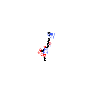 CCCCOC(=O)NC(CNC(=O)CC1=NOC(CCCNC2=NCCN2)C1)C(=O)O